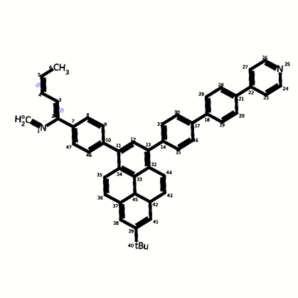 C=N/C(=C\C=C/C)c1ccc(-c2cc(-c3ccc(-c4ccc(-c5ccncc5)cc4)cc3)c3c4c2C=CC2=CC(C(C)(C)C)=CC(C=C3)C24)cc1